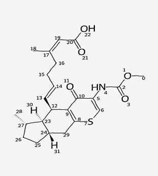 COC(=O)Nc1csc2c(c1=O)[C@H](/C=C/CC/C(C)=C\C(=O)O)[C@H]1[C@@H](CC[C@@H]1C)C2